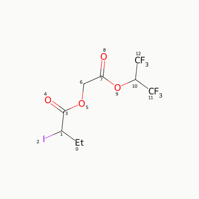 CCC(I)C(=O)OCC(=O)OC(C(F)(F)F)C(F)(F)F